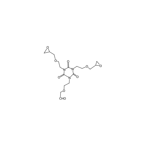 O=CCOCCn1c(=O)n(CCOCC2CO2)c(=O)n(CCOCC2CO2)c1=O